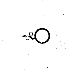 CCOC(=O)CC1CCCCCCCCCCCCCC1